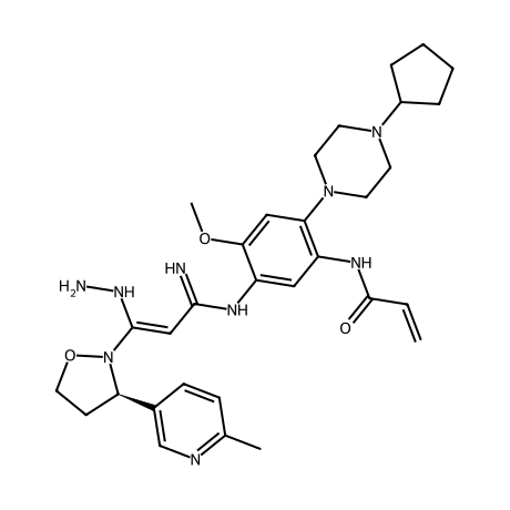 C=CC(=O)Nc1cc(NC(=N)/C=C(\NN)N2OCC[C@@H]2c2ccc(C)nc2)c(OC)cc1N1CCN(C2CCCC2)CC1